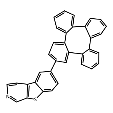 c1ccc2c(c1)-c1ccccc1-c1ccc(-c3ccc4sc5cnccc5c4c3)cc1-c1ccccc1-2